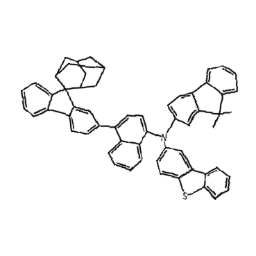 CC1(C)c2ccccc2-c2ccc(N(c3ccc4sc5ccccc5c4c3)c3ccc(-c4ccc5c(c4)C4(c6ccccc6-5)C5CC6CC(C5)CC4C6)c4ccccc34)cc21